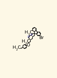 C=C/C=C\C=C(/C)C1(CCCCCCOC2=CCC(C=C)C=C2)c2cc(Br)ccc2C2=CC=CCC21